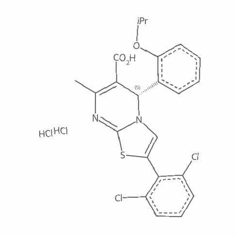 CC1=C(C(=O)O)[C@H](c2ccccc2OC(C)C)N2C=C(c3c(Cl)cccc3Cl)SC2=N1.Cl.Cl